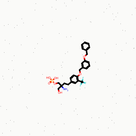 NC(CO)(CCc1ccc(OCc2cccc(OCc3ccccc3)c2)c(C(F)(F)F)c1)COP(=O)(O)O